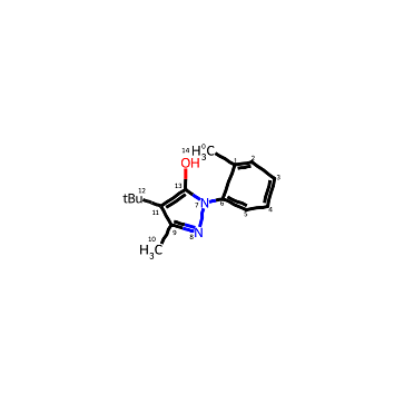 Cc1ccccc1-n1nc(C)c(C(C)(C)C)c1O